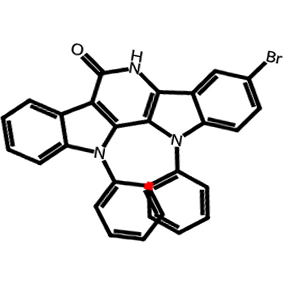 O=c1[nH]c2c3cc(Br)ccc3n(-c3ccccc3)c2c2c1c1ccccc1n2-c1ccccc1